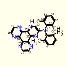 Cc1cccc(C)c1N(c1cnc2c3nccnc3c3nccnc3c2n1)c1c(C)cccc1C